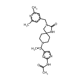 CC(=O)Nc1ncc([C@@H](C)N2CCC3(CC2)CN(Cc2cc(C)nc(C)c2)C(=O)N3)s1